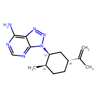 C=C(C)[C@@H]1CC[C@@H](C)[C@@H](n2nnc3c(N)ncnc32)C1